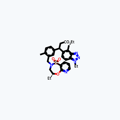 CCOC(=O)CC(c1ccc(C)c(CN2C[C@@H](CC)Oc3ncccc3S2(=O)=O)c1)c1ccc2c(nnn2CC)c1C